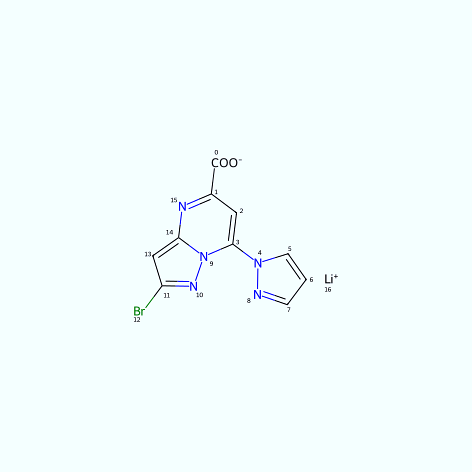 O=C([O-])c1cc(-n2cccn2)n2nc(Br)cc2n1.[Li+]